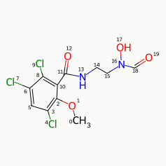 COc1c(Cl)cc(Cl)c(Cl)c1C(=O)NCCN(O)C=O